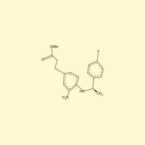 COC(=O)CCc1ccc(N[C@H](C)c2ccc(F)cc2)c(N)c1